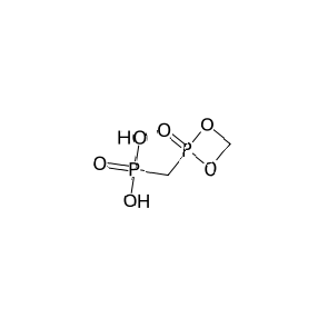 O=P(O)(O)CP1(=O)OCO1